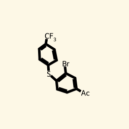 CC(=O)c1ccc(Sc2ccc(C(F)(F)F)cc2)c(Br)c1